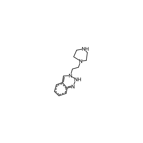 C1=c2ccccc2=NNN1CCN1CCNCC1